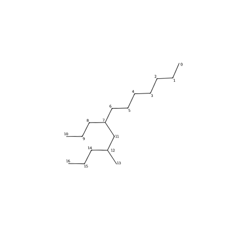 CCCCCCCC(CCC)CC(C)CCC